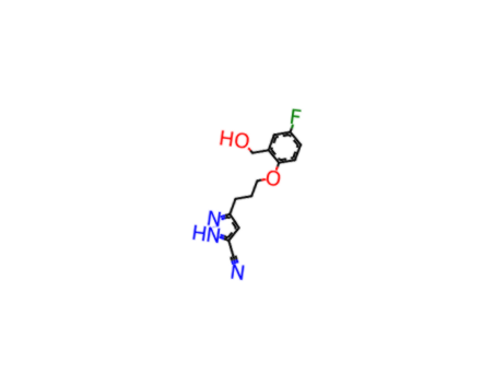 N#Cc1cc(CCCOc2ccc(F)cc2CO)n[nH]1